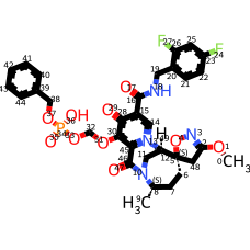 COC1=NO[C@@]2(CC[C@H](C)N3C[C@H]2n2cc(C(=O)NCc4ccc(F)cc4F)c(=O)c(OCOP(=O)(O)OCc4ccccc4)c2C3=O)C1